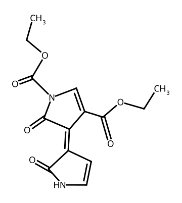 CCOC(=O)C1=CN(C(=O)OCC)C(=O)C1=C1C=CNC1=O